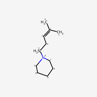 CC(C)=CC[SiH2]N1CCCCC1